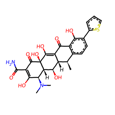 C[C@@H]1c2ccc(-c3cccs3)c(O)c2C(=O)C2=C(O)[C@@]3(O)C(=O)C(C(N)=O)=C(O)[C@H](N(C)C)[C@H]3[C@H](O)[C@H]21